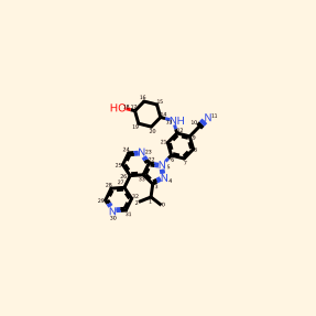 CC(C)c1nn(-c2ccc(C#N)c(NC3CCC(O)CC3)c2)c2nccc(-c3ccncc3)c12